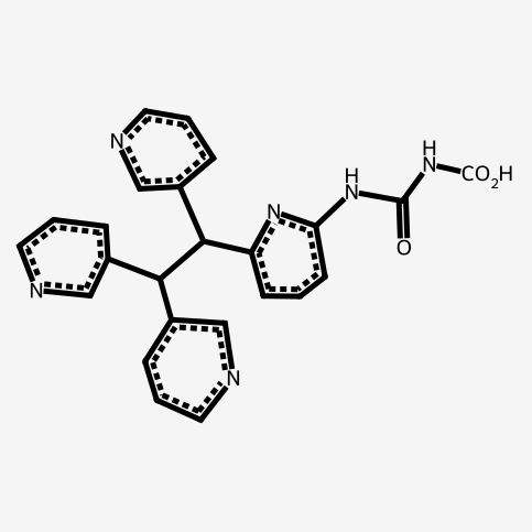 O=C(O)NC(=O)Nc1cccc(C(c2cccnc2)C(c2cccnc2)c2cccnc2)n1